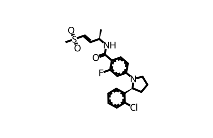 C[C@H](/C=C/S(C)(=O)=O)NC(=O)c1ccc(N2CCC[C@H]2c2ccccc2Cl)cc1F